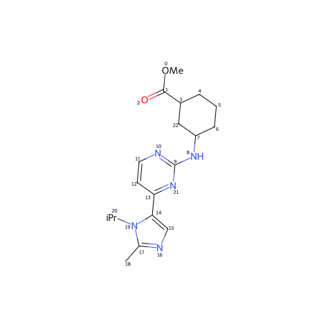 COC(=O)C1CCCC(Nc2nccc(-c3cnc(C)n3C(C)C)n2)C1